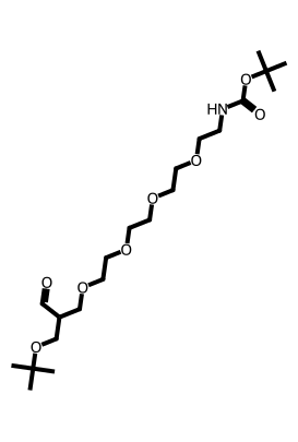 CC(C)(C)OCC(C=O)COCCOCCOCCOCCNC(=O)OC(C)(C)C